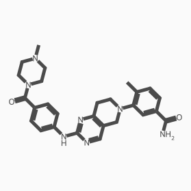 Cc1ccc(C(N)=O)cc1N1CCc2nc(Nc3ccc(C(=O)N4CCN(C)CC4)cc3)ncc2C1